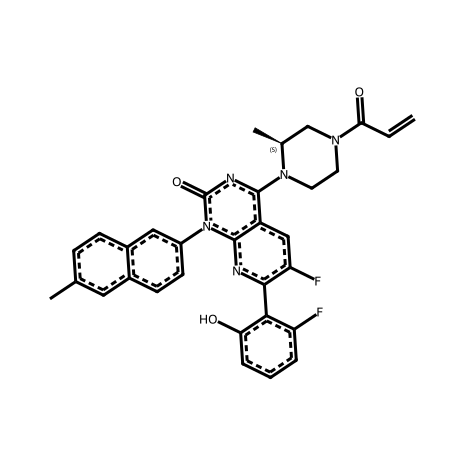 C=CC(=O)N1CCN(c2nc(=O)n(-c3ccc4cc(C)ccc4c3)c3nc(-c4c(O)cccc4F)c(F)cc23)[C@@H](C)C1